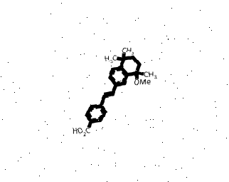 COC1(C)CCC(C)(C)c2ccc(C=Cc3ccc(C(=O)O)cc3)cc21